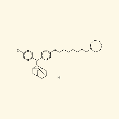 Clc1ccc(C(=C2C3CC4CC(C3)CC2C4)c2ccc(OCCCCCCCN3CCCCCC3)cc2)cc1.I